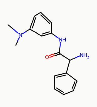 CN(C)c1cccc(NC(=O)C(N)c2ccccc2)c1